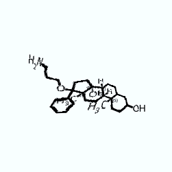 C[C@]12CCC(O)CC1CC[C@@H]1[C@H]2CC[C@]2(C)C(OCCCN)(c3ccccc3)CC[C@@]12O